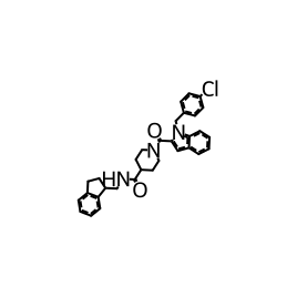 O=C(NCC1CCc2ccccc21)C1CCN(C(=O)c2cc3ccccc3n2Cc2ccc(Cl)cc2)CC1